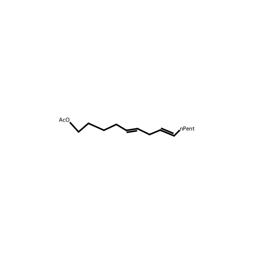 CCCCCC=CCC=CCCCCOC(C)=O